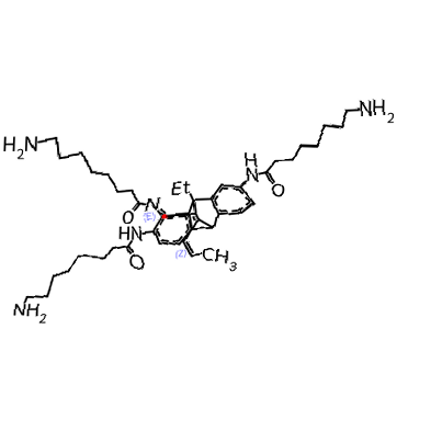 C/C=C\C1=C(/C=N/C(=O)CCCCCCCN)C2(CC)c3cc(NC(=O)CCCCCCCN)ccc3C1c1ccc(NC(=O)CCCCCCCN)cc12